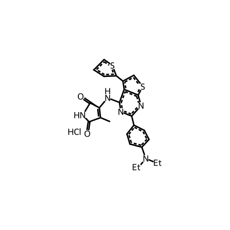 CCN(CC)c1ccc(-c2nc(NC3=C(C)C(=O)NC3=O)c3c(-c4cccs4)csc3n2)cc1.Cl